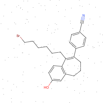 N#Cc1ccc(C2=C(CCCCCCBr)c3ccc(O)cc3CCC2)cc1